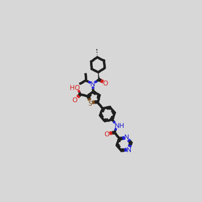 CC(C)N(c1cc(-c2ccc(NC(=O)c3ccncn3)cc2)sc1C(=O)O)C(=O)[C@H]1CC[C@H](C)CC1